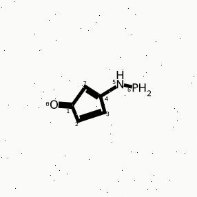 O=C1C=CC(NP)=C1